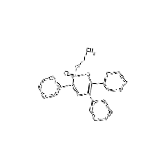 CCOP1(=O)OC(c2ccccc2)=C(c2ccccc2)C=C1c1ccccc1